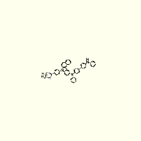 C/C=C\C(=C/C)c1ccc(-n2c3ccc(N(c4ccccc4)c4ccc(-c5ccc(Nc6ccccc6)cc5)cc4)cc3c3c4ccccc4ccc32)cc1